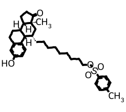 Cc1ccc(S(=O)(=O)OCCCCCCCCC[C@H]2C[C@]3(C)C(=O)CC[C@H]3[C@@H]3CCc4cc(O)ccc4[C@@H]23)cc1